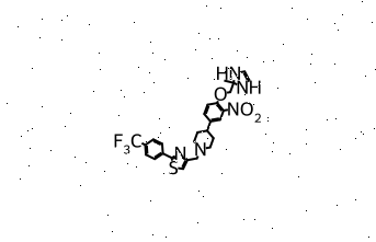 CC1(COc2ccc(C3CCN(Cc4csc(-c5ccc(C(F)(F)F)cc5)n4)CC3)cc2[N+](=O)[O-])NC=CN1